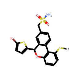 CCSc1cccc2c1-c1ccc(CS(N)(=O)=O)cc1C(c1ccc(Br)s1)O2